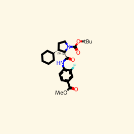 COC(=O)c1ccc(NC(=O)[C@@H]2[C@H](C3CCCCC3)CCN2C(=O)OC(C)(C)C)c(F)c1